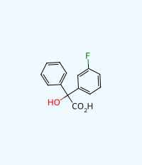 O=C(O)C(O)(c1ccccc1)c1cccc(F)c1